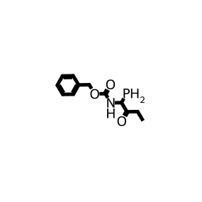 CCC(=O)C(P)NC(=O)OCc1ccccc1